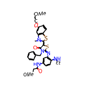 CCNc1ccc(NC(=O)COC)cc1/N=C1/S/C(=C2\Sc3ccc(OCCOC)cc3N2C)C(=O)N1Cc1ccccc1